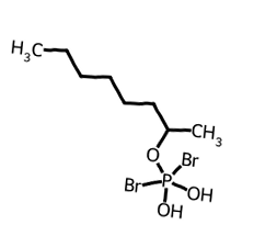 CCCCCCC(C)OP(O)(O)(Br)Br